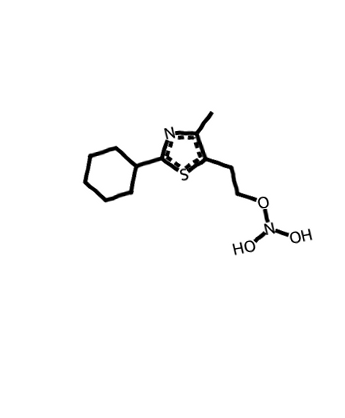 Cc1nc(C2CCCCC2)sc1CCON(O)O